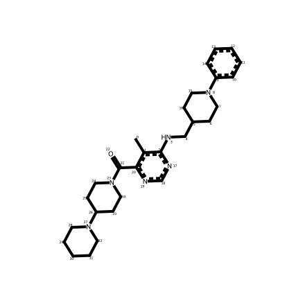 Cc1c(NCC2CCN(c3ccccc3)CC2)ncnc1C(=O)N1CCC(N2CCCCC2)CC1